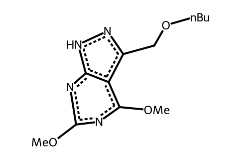 CCCCOCc1n[nH]c2nc(OC)nc(OC)c12